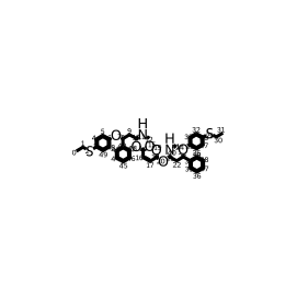 CCSc1ccc(OC(CC(NC)OC(=O)/C=C\C(=O)OC(CC(Oc2ccc(SCC)cc2)c2ccccc2)NC)c2ccccc2)cc1